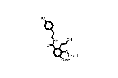 CCCCCOc1c(OC)ccc(C(=O)NCCc2ccc(O)cc2)c1CCO